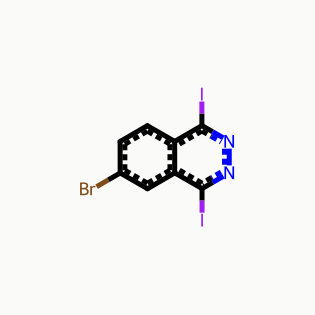 Brc1ccc2c(I)nnc(I)c2c1